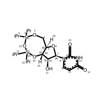 CC(C)[Si]1(C(C)C)OC[C@H]2O[C@@H](n3ccc(=O)[nH]c3=O)[C@@H](O)[C@@H]2O[Si](C(C)C)(C(C)C)O1